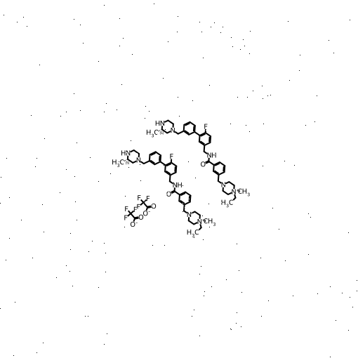 CC[N+]1(C)CCN(Cc2cccc(C(=O)NCc3ccc(F)c(-c4cccc(CN5CCN[C@@H](C)C5)c4)c3)c2)CC1.CC[N+]1(C)CCN(Cc2cccc(C(=O)NCc3ccc(F)c(-c4cccc(CN5CCN[C@@H](C)C5)c4)c3)c2)CC1.O=C([O-])C(F)(F)F.O=C([O-])C(F)(F)F